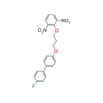 O=[N+]([O-])c1cccc([N+](=O)[O-])c1OCCCOc1ccc(-c2ccc(F)cc2)cc1